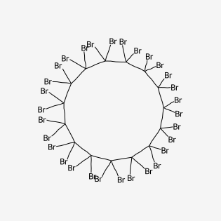 BrC1(Br)C(Br)(Br)C(Br)(Br)C(Br)(Br)C(Br)(Br)C(Br)(Br)C(Br)(Br)C(Br)(Br)C(Br)(Br)C(Br)(Br)C(Br)(Br)C(Br)(Br)C(Br)(Br)C(Br)(Br)C1(Br)Br